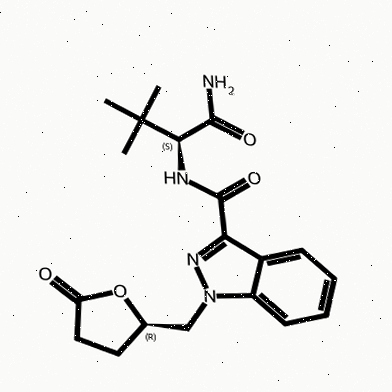 CC(C)(C)[C@H](NC(=O)c1nn(C[C@H]2CCC(=O)O2)c2ccccc12)C(N)=O